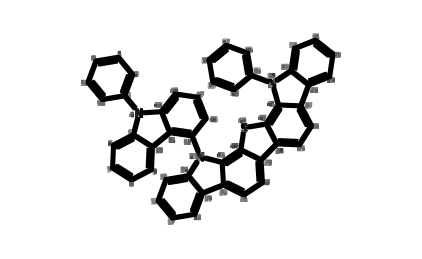 c1ccc(-n2c3ccccc3c3c(-n4c5ccccc5c5ccc6c7ccc8c9ccccc9n(-c9ccccc9)c8c7sc6c54)cccc32)cc1